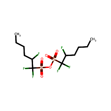 CCCCC(F)C(F)(F)S(=O)(=O)OS(=O)(=O)C(F)(F)C(F)CCCC